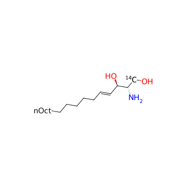 CCCCCCCCCCCCC/C=C/[C@@H](O)[C@@H](N)[14CH2]O